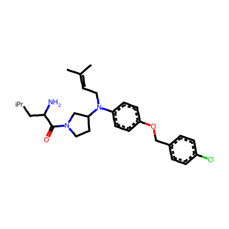 CC(C)=CCN(c1ccc(OCc2ccc(Cl)cc2)cc1)C1CCN(C(=O)C(N)CC(C)C)C1